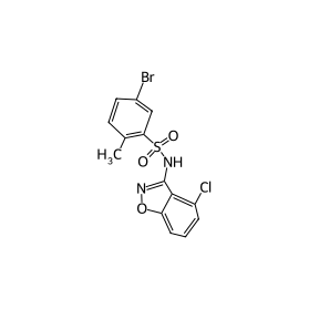 Cc1ccc(Br)cc1S(=O)(=O)Nc1noc2cccc(Cl)c12